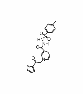 Cc1ccc(S(=O)(=O)NNC(=O)C2=CN(CC(=O)c3cccs3)C=CC2)cc1